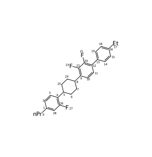 CCCc1ccc(C2CCC(c3ccc(-c4ccc(CC)cc4)c(F)c3F)CC2)c(F)c1